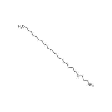 CCCCCCCCCCCCCCCCCCCCCCOCCCN